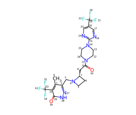 Cc1c(CN2CC[C@@H]2CC(=O)N2CCN(c3ncc(C(F)(F)F)cn3)CC2)n[nH]c(=O)c1C(F)(F)F